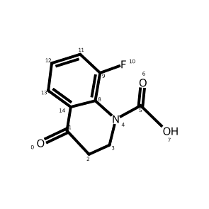 O=C1CCN(C(=O)O)c2c(F)cccc21